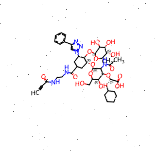 C#CC(=O)NCCNC(=O)C1CC(n2cc(-c3ccccc3)nn2)C(O[C@@H]2OC(C)[C@@H](O)C(O)C2O)[C@H](O[C@@H]2OC(CO)[C@H](O)C(O[C@@H](CC3CCCCC3)C(=O)O)C2NC(C)=O)C1